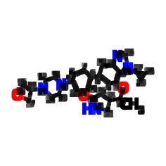 C[C@@H](Oc1cc(-c2ccc(N3CCN(C4COC4)CC3)cc2)cc2ncn(C3CC3)c12)[C@H]1CNC(=O)C1